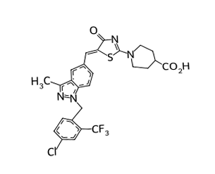 Cc1nn(Cc2ccc(Cl)cc2C(F)(F)F)c2ccc(/C=C3\SC(N4CCC(C(=O)O)CC4)=NC3=O)cc12